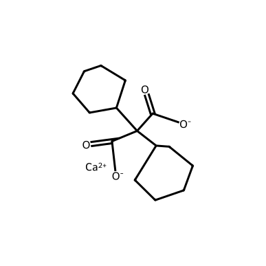 O=C([O-])C(C(=O)[O-])(C1CCCCC1)C1CCCCC1.[Ca+2]